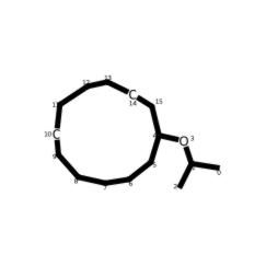 CC(C)OC1CCCCCCCCCCC1